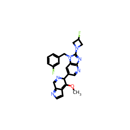 COC1=C2C=CN=C2C=NC1c1cnc2nc(N3CC(F)C3)n(Cc3cccc(F)c3)c2c1